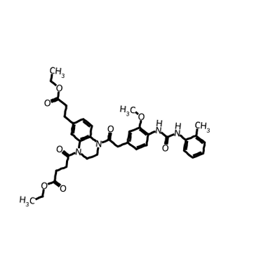 CCOC(=O)CCC(=O)N1CCN(C(=O)Cc2ccc(NC(=O)Nc3ccccc3C)c(OC)c2)c2ccc(CCC(=O)OCC)cc21